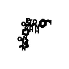 Cc1ncc2n1C(=O)N(C1CCN(C(=O)[C@H](NC(=O)Nc3ccc(CI)cc3)C(C)C)CC1)C2